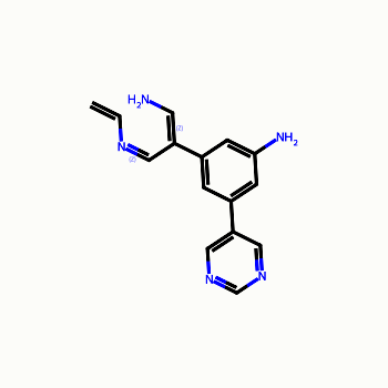 C=C/N=C\C(=C/N)c1cc(N)cc(-c2cncnc2)c1